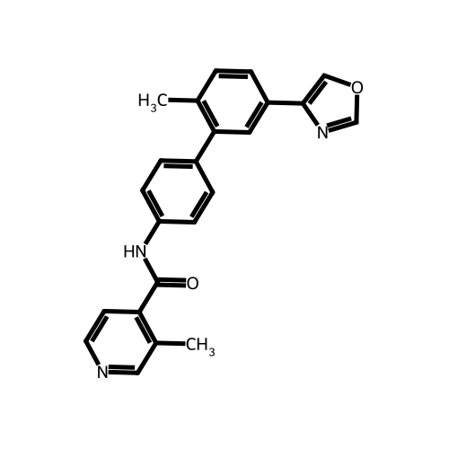 Cc1cnccc1C(=O)Nc1ccc(-c2cc(-c3cocn3)ccc2C)cc1